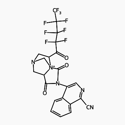 N#Cc1ncc(N2C(=O)C3CN4CC(C(=O)C(F)(F)C(F)(F)C(F)(F)C(F)(F)F)[N+]3(C4)C2=O)c2ccccc12